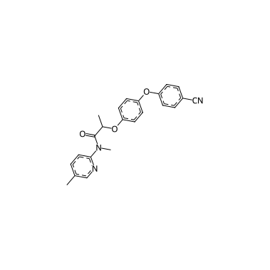 Cc1ccc(N(C)C(=O)C(C)Oc2ccc(Oc3ccc(C#N)cc3)cc2)nc1